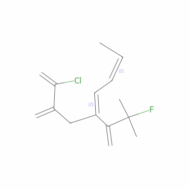 C=C(Cl)C(=C)C/C(=C/C=C\C)C(=C)C(C)(C)F